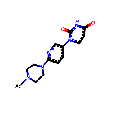 CC(=O)N1CCN(c2ccc(-n3ccc(=O)[nH]c3=O)cn2)CC1